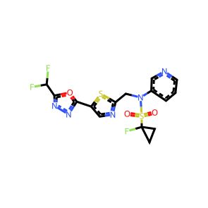 O=S(=O)(N(Cc1ncc(-c2nnc(C(F)F)o2)s1)c1cccnc1)C1(F)CC1